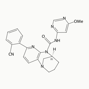 COc1cc(NC(=O)N2c3nc(-c4ccccc4C#N)ccc3N3CCC[C@H]2C3)ncn1